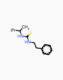 CC(C)C(C)NC(=S)NCCc1ccccc1